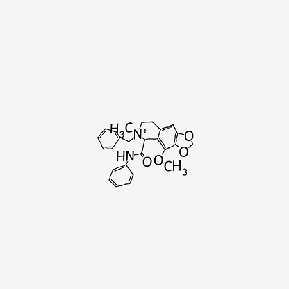 COc1c2c(cc3c1C(C(=O)Nc1ccccc1)[N+](C)(Cc1ccccc1)CC3)OCO2